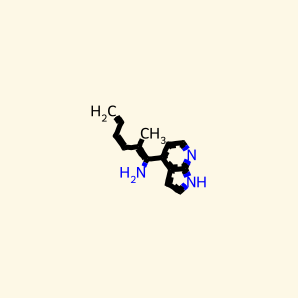 C=C/C=C\C(C)=C(/N)c1ccnc2[nH]ccc12